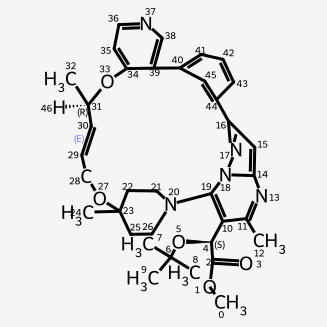 COC(=O)[C@@H](OC(C)(C)C)c1c(C)nc2cc3nn2c1N1CCC(C)(CC1)OC/C=C/[C@@H](C)Oc1ccncc1-c1cccc-3c1